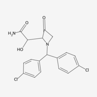 NC(=O)C(O)C1C(=O)CN1C(c1ccc(Cl)cc1)c1ccc(Cl)cc1